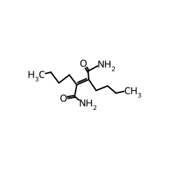 CCCCC(C(N)=O)=C(CCCC)C(N)=O